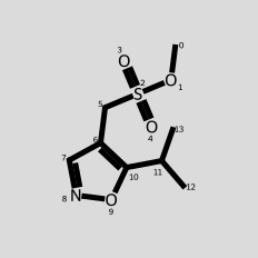 COS(=O)(=O)Cc1cnoc1C(C)C